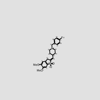 COc1cc2c(cc1OC)S(=O)(=O)/C(=C/C1CCN(Cc3ccc(F)cc3)CC1)C2